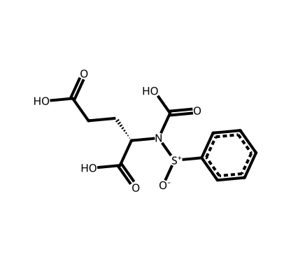 O=C(O)CC[C@@H](C(=O)O)N(C(=O)O)[S+]([O-])c1ccccc1